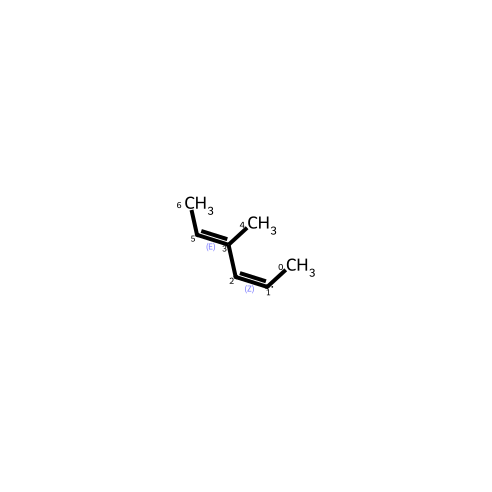 C/[C]=C\C(C)=C\C